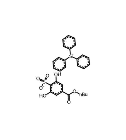 CCCCOC(=O)c1cc(O)c(S(=O)(=O)[O-])c(O)c1.c1ccc([S+](c2ccccc2)c2ccccc2)cc1